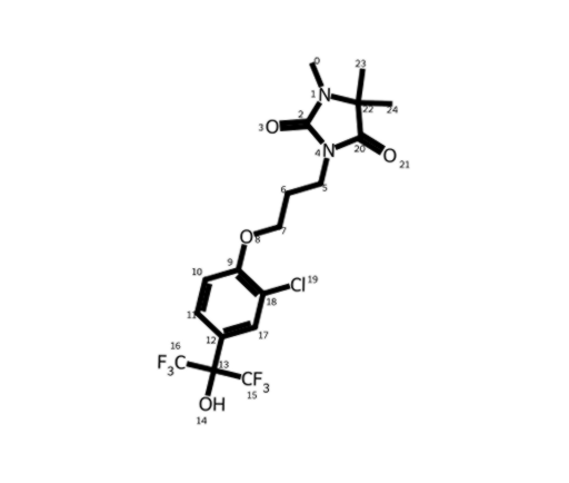 CN1C(=O)N(CCCOc2ccc(C(O)(C(F)(F)F)C(F)(F)F)cc2Cl)C(=O)C1(C)C